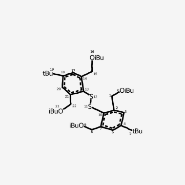 CC(C)COCc1cc(C(C)(C)C)cc(COCC(C)C)c1SSc1c(COCC(C)C)cc(C(C)(C)C)cc1COCC(C)C